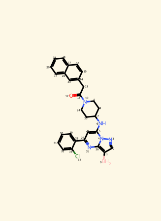 Bc1cnn2c(NC3CCN(C(=O)Cc4ccc5ccccc5c4)CC3)cc(-c3ccccc3Cl)nc12